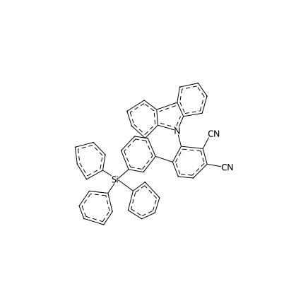 N#Cc1ccc(-c2cccc([Si](c3ccccc3)(c3ccccc3)c3ccccc3)c2)c(-n2c3ccccc3c3ccccc32)c1C#N